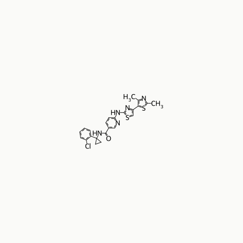 Cc1nc(C)c(-c2csc(Nc3ccc(C(=O)NC4(c5ccccc5Cl)CC4)cn3)n2)s1